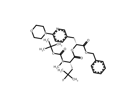 CN(C(=O)OC(C)(C)C)[C@@H](CC(C)(C)F)C(=O)O[C@H](Cc1ccc(N2CCOCC2)nc1)C(=O)OCc1ccccc1